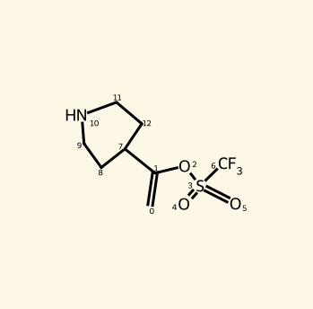 C=C(OS(=O)(=O)C(F)(F)F)C1CCNCC1